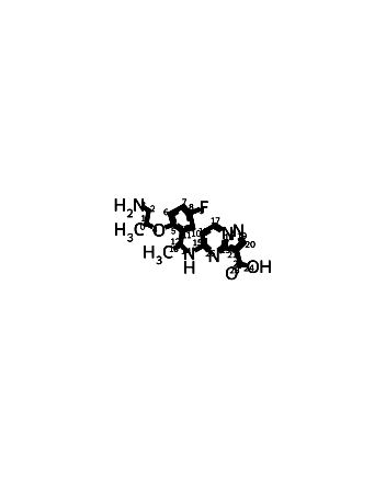 CC(CN)Oc1ccc(F)cc1C(C)Nc1ccn2ncc(C(=O)O)c2n1